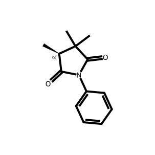 C[C@@H]1C(=O)N(c2ccccc2)C(=O)C1(C)C